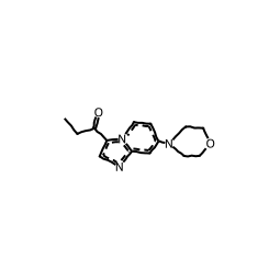 CCC(=O)c1cnc2cc(N3CCOCC3)ccn12